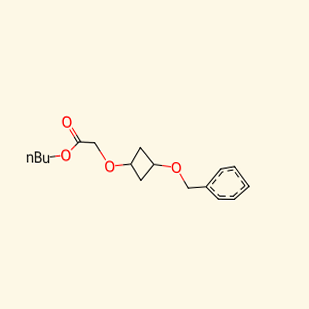 CCCCOC(=O)COC1CC(OCc2ccccc2)C1